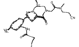 C[C@H]1CN(CC(=O)N(C)CCC#N)C(=O)c2cc(-c3ccc(C#N)cc3NC(=O)CF)nn21